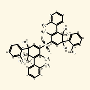 CC1=C(c2ccccc2C)C(O)(O)C(O)(c2ccccc2C)C=C1S(=O)(=O)C1=CC(O)(c2ccccc2C)C(O)(O)C(c2ccccc2C)=C1C